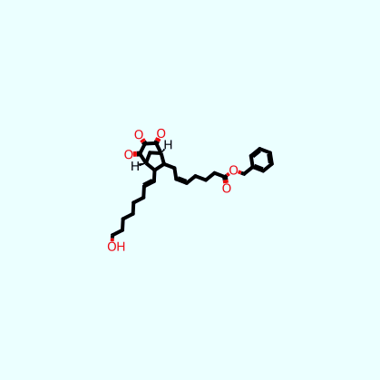 O=C(CCC/C=C\CC1C(C=CCCCCCCO)[C@H]2C[C@H]1C(=O)C(=O)C2=O)OCc1ccccc1